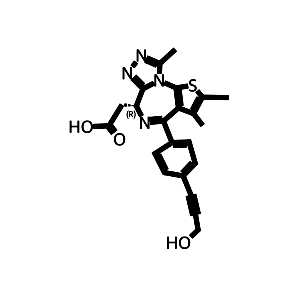 Cc1sc2c(c1C)C(c1ccc(C#CCO)cc1)=N[C@H](CC(=O)O)c1nnc(C)n1-2